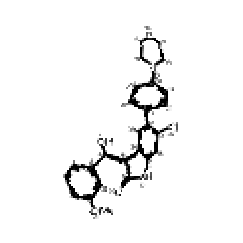 COc1cccc(C(O)=C2C(=O)Nc3cc(Cl)c(-c4ccc(N5CCOCC5)cc4)cc32)c1